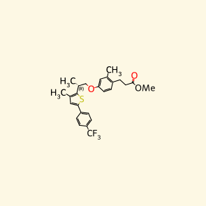 COC(=O)CCc1ccc(OC[C@@H](C)c2sc(-c3ccc(C(F)(F)F)cc3)cc2C)cc1C